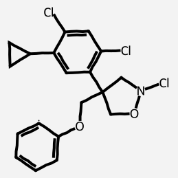 Clc1cc(Cl)c(C2(COc3[c]cccc3)CON(Cl)C2)cc1C1CC1